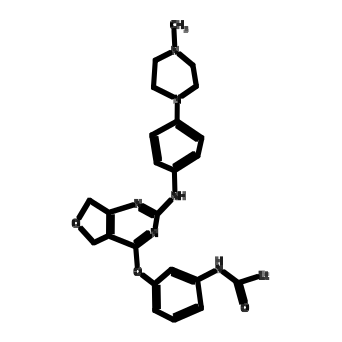 CCC(=O)Nc1cccc(Oc2nc(Nc3ccc(N4CCN(C)CC4)cc3)nc3c2COC3)c1